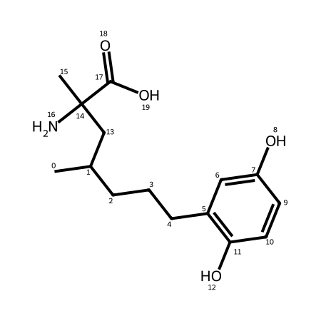 CC(CCCc1cc(O)ccc1O)CC(C)(N)C(=O)O